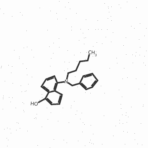 CCCCCN(Cc1ccccc1)c1cccc2c(O)cccc12